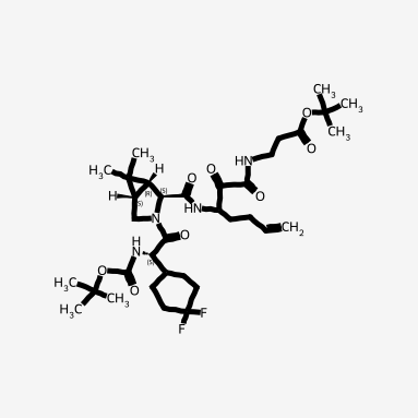 C=CCCC(NC(=O)[C@@H]1[C@@H]2[C@H](CN1C(=O)[C@@H](NC(=O)OC(C)(C)C)C1CCC(F)(F)CC1)C2(C)C)C(=O)C(=O)NCCC(=O)OC(C)(C)C